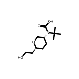 CC(C)(C)N(C(=O)O)[C@@H]1CC[C@@H](CCO)OC1